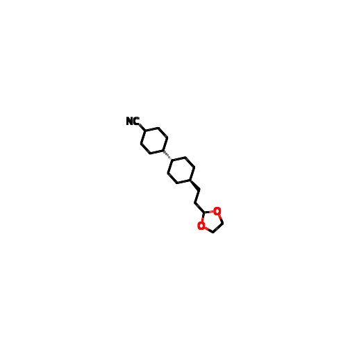 N#CC1CCC([C@H]2CC[C@H](CCC3OCCO3)CC2)CC1